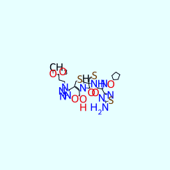 COC(=O)CCn1nnnc1C1=C(C(=O)O)N2C(=O)C(C=S)(NC(=O)C(=NOC3CCCC3)c3nsc(N)n3)[C@@H]2SC1